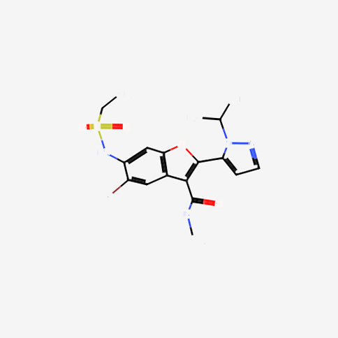 CCS(=O)(=O)Nc1cc2oc(-c3ccnn3C(C)C)c(C(=O)NC)c2cc1Br